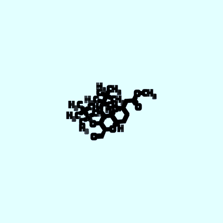 COC(=O)CC1CC[C@@H]2O[C@@H](C=O)C(O[Si](C)(C)C(C)(C)C)C(O[Si](C)(C)C(C)(C)C)[C@H]2O1